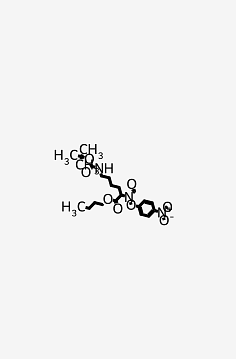 CCCCOC(=O)C(CCCCNC(=O)OC(C)(C)C)N(C=O)Oc1ccc([N+](=O)[O-])cc1